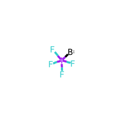 [B]I(F)(F)(F)F